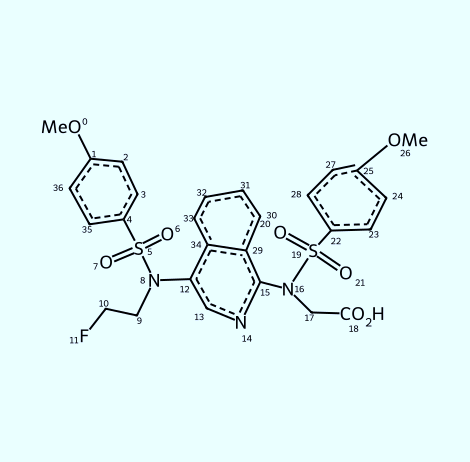 COc1ccc(S(=O)(=O)N(CCF)c2cnc(N(CC(=O)O)S(=O)(=O)c3ccc(OC)cc3)c3ccccc23)cc1